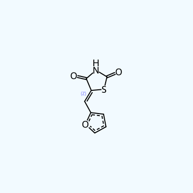 O=C1NC(=O)/C(=C/c2ccco2)S1